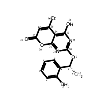 Bc1ccccc1[C@@H](C)Oc1nc(O)c2c(CC)cc(=O)oc2n1